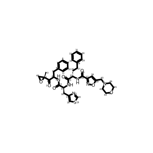 C[C@]1(C(=O)C(Cc2ccccc2)NC(=O)[C@H](Cc2cscn2)NC(=O)[C@H](CCc2ccccc2)NC(=O)c2cc(CN3CCOCC3)on2)CO1